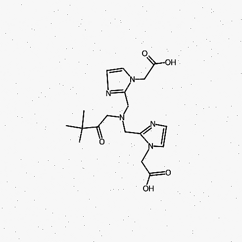 CC(C)(C)C(=O)CN(Cc1nccn1CC(=O)O)Cc1nccn1CC(=O)O